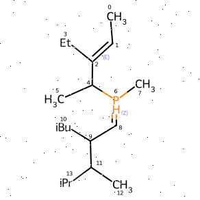 C/C=C(\CC)C(C)/[PH](C)=C\C(C(C)CC)C(C)C(C)C